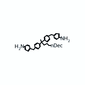 CCCCCCCCCCCCCC(C)(c1ccc(Cc2ccc(N)cc2)cc1)c1ccc(Cc2ccc(N)cc2)cc1